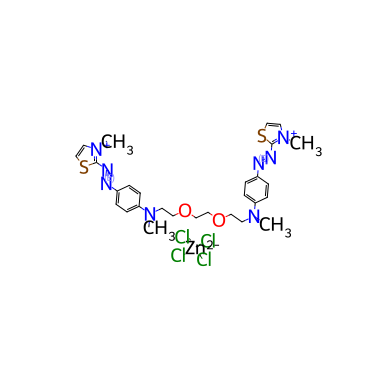 CN(CCOCCOCCN(C)c1ccc(/N=N/c2scc[n+]2C)cc1)c1ccc(/N=N/c2scc[n+]2C)cc1.[Cl][Zn-2]([Cl])([Cl])[Cl]